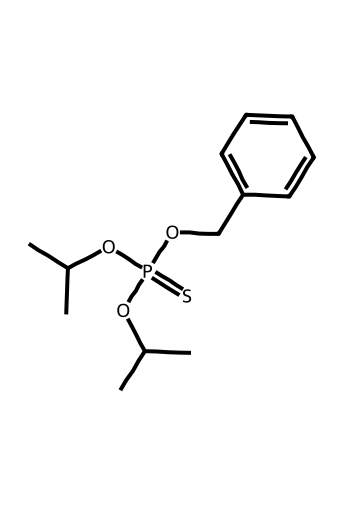 CC(C)OP(=S)(OCc1ccccc1)OC(C)C